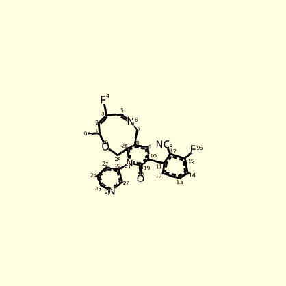 CC1/C=C(F)\C=N/Cc2cc(-c3cccc(F)c3C#N)c(=O)n(-c3cccnc3)c2CO1